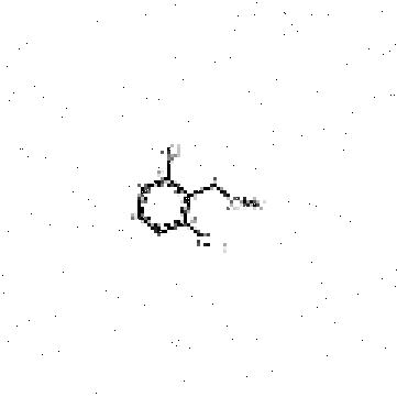 COCc1c(C)cccc1Cl